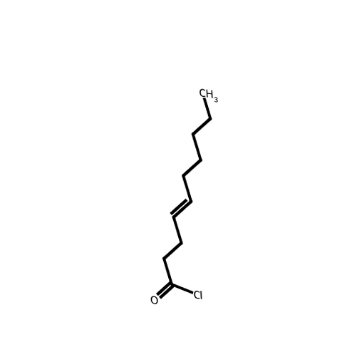 CCCCC/C=C/CCC(=O)Cl